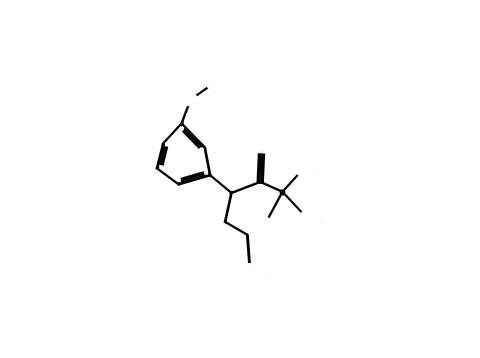 CCCC(C(=O)C(C)(C)C)c1cccc(OC)c1